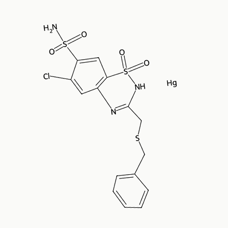 NS(=O)(=O)c1cc2c(cc1Cl)N=C(CSCc1ccccc1)NS2(=O)=O.[Hg]